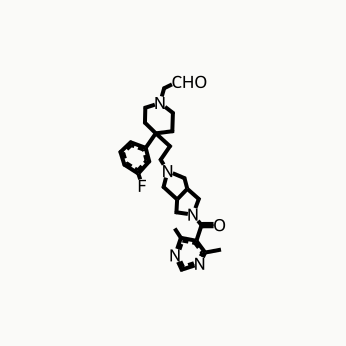 Cc1ncnc(C)c1C(=O)N1CC2CN(CCC3(c4cccc(F)c4)CCN(CC=O)CC3)CC2C1